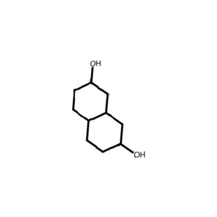 OC1CCC2CCC(O)CC2C1